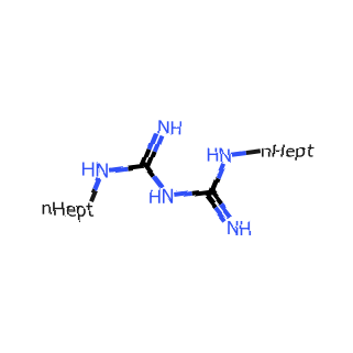 CCCCCCCNC(=N)NC(=N)NCCCCCCC